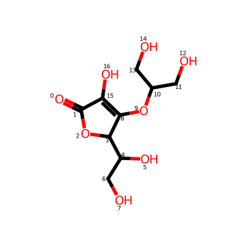 O=C1OC(C(O)CO)C(OC(CO)CO)=C1O